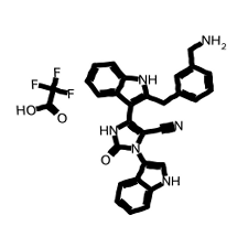 N#Cc1c(-c2c(Cc3cccc(CN)c3)[nH]c3ccccc23)[nH]c(=O)n1-c1c[nH]c2ccccc12.O=C(O)C(F)(F)F